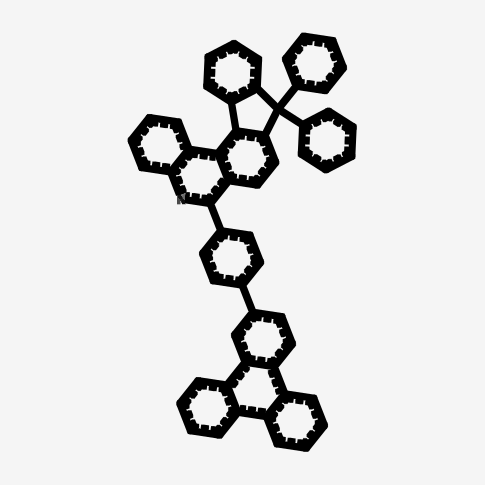 c1ccc(C2(c3ccccc3)c3ccccc3-c3c2ccc2c(-c4ccc(-c5ccc6c7ccccc7c7ccccc7c6c5)cc4)nc4ccccc4c32)cc1